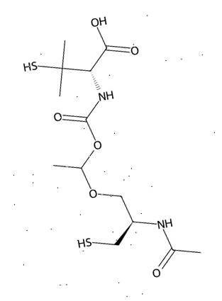 CC(=O)N[C@@H](CS)COC(C)OC(=O)N[C@@H](C(=O)O)C(C)(C)S